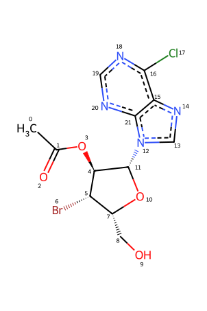 CC(=O)O[C@@H]1[C@@H](Br)[C@@H](CO)O[C@H]1n1cnc2c(Cl)ncnc21